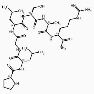 CC(C)C[C@H](NC(=O)CNC(=O)[C@H](CC(C)C)NC(=O)[C@@H]1CCCN1)C(=O)N[C@@H](CO)C(=O)N[C@@H](C)C(=O)N[C@@H](CCCNC(=N)N)C(N)=O